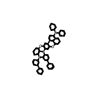 c1ccc(-c2ccc3c(c2)N(c2cccc(-c4ccccc4)c2)c2cccc4c2B3c2cc3c(cc2O4)-c2ccc(N(c4ccccc4)c4ccccc4)c4cccc(c24)O3)cc#1